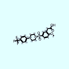 COc1ccc(S(=O)(=O)N2CCN(c3ccc(C(F)(F)F)cc3)CC2)cc1CC(=O)O